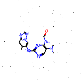 Cc1cc2ncnn2cc1Nc1ncc(N(C)C)c(NC=O)n1